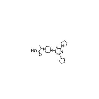 CC(C(=O)O)N1CCN(c2cc(N3CCCC3)nc(N3CCCC3)n2)CC1